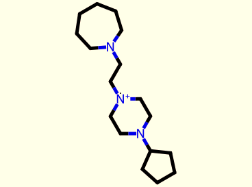 C1CCCN(CC[N+]2CCN(C3CCCC3)CC2)CC1